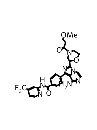 COCCC(=O)N1CCOC(c2nc(-c3ccc(C(=O)Nc4cc(C(F)(F)F)ccn4)cc3)c3c(N)nccn23)C1